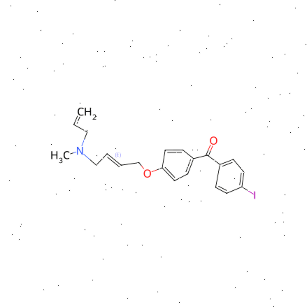 C=CCN(C)C/C=C/COc1ccc(C(=O)c2ccc(I)cc2)cc1